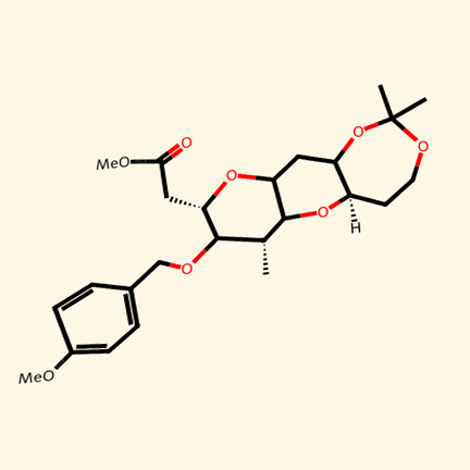 COC(=O)C[C@@H]1OC2CC3OC(C)(C)OCC[C@H]3OC2[C@H](C)C1OCc1ccc(OC)cc1